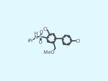 COCc1cc(S(=O)(=O)NC(C)C)c(Cl)cc1-c1ccc(Cl)cc1